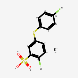 O=S(=O)([O-])c1cc(Sc2ccc(F)cc2)ccc1F.[K+]